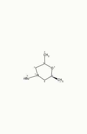 CCCCN1CC(C)O[C@@H](C)C1